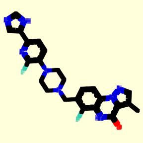 Cc1cnn2c1c(=O)[nH]c1c(F)c(CN3CCN(c4ccc(-c5cnc[nH]5)nc4F)CC3)ccc12